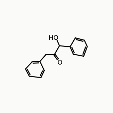 O=C(Cc1ccccc1)C(O)c1ccccc1